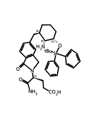 CC(C)(C)[Si](O[C@H]1CCC[C@H](Cc2ccc3c(c2)CN([C@@H](CCC(=O)O)C(N)=O)C3=O)[C@H]1N)(c1ccccc1)c1ccccc1